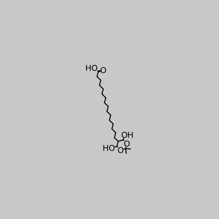 CC1(C)OC(O)C(CCCCCCCCCCCCCCCC(=O)O)C(O)O1